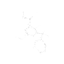 CNC(=O)c1cc(C=O)cc2c1OCC2(C)c1ccccc1